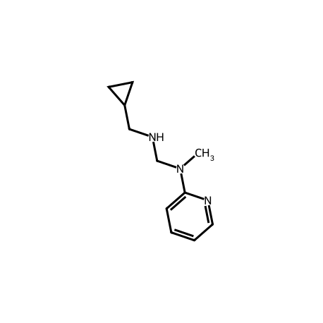 CN(CNCC1CC1)c1ccccn1